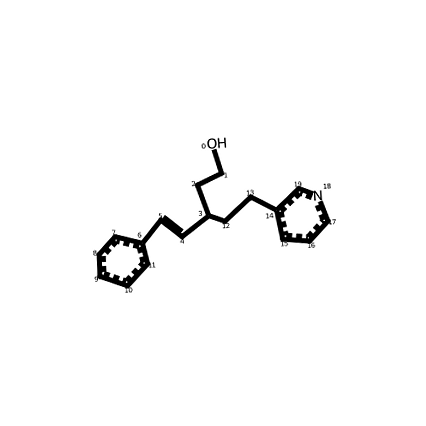 OCCC(C=Cc1ccccc1)C[CH]c1cccnc1